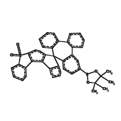 CC1(C)OB(c2ccc3c(c2)-c2ccccc2-c2ccccc2C32c3ccccc3-c3c2ccc2c3-c3ccccc3S2(=O)=O)OC1(C)C